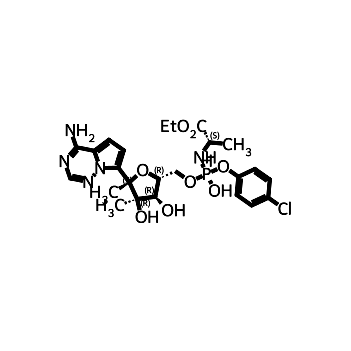 CCOC(=O)[C@H](C)N[PH](O)(OC[C@H]1O[C@@](C)(c2ccc3c(N)ncnn23)[C@](C)(O)[C@@H]1O)Oc1ccc(Cl)cc1